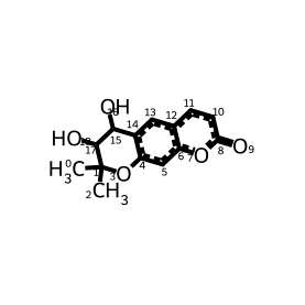 CC1(C)Oc2cc3oc(=O)ccc3cc2C(O)C1O